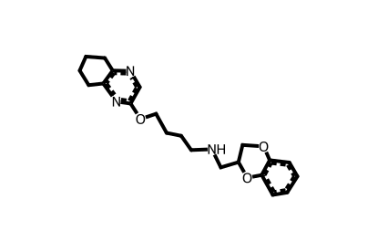 c1ccc2c(c1)OCC(CNCCCCOc1cnc3c(n1)CCCC3)O2